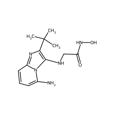 CC(C)(C)c1nc2cccc(N)n2c1NCC(=O)NO